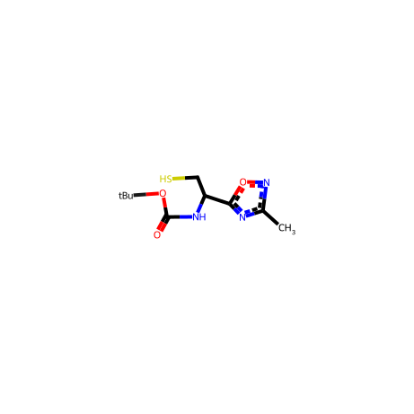 Cc1noc(C(CS)NC(=O)OC(C)(C)C)n1